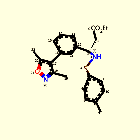 CCOC(=O)C[C@H](NSc1ccc(C)cc1)c1cccc(-c2c(C)noc2C)c1